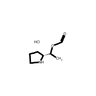 CC(OC=O)[C@H]1CCCN1.Cl